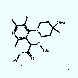 COC1(C)CCN(c2c(Br)c(C)nc(C)c2C(OC(C)(C)C)C(=O)OC(C)C)CC1